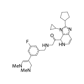 CN/C=C(\CNC)c1cc(F)cc(CNCC(=O)C2NC=Cc3nc(C4CCCC4)n(C4CC4)c32)c1